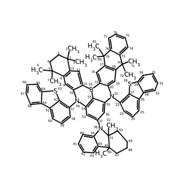 CC1(C)CCC(C)(C)c2cc3c(cc21)B1c2cc4c(cc2N(c2cccc5c2sc2ccccc25)c2cc(N5c6ccccc6C6(C)CCCCC56C)cc(c21)N3c1cccc2c1sc1ccccc12)C(C)(C)c1ccccc1C4(C)C